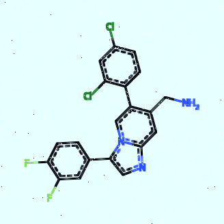 NCc1cc2ncc(-c3ccc(F)c(F)c3)n2cc1-c1ccc(Cl)cc1Cl